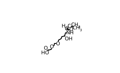 CC(C)(C)OC(=O)NCC(O)CCCOCCOCC(=O)O